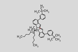 CCCCC[Si](CCCCC)=[Hf]([CH3])([CH3])([CH]1C=Cc2c(-c3cccc(C(C)(C)C)c3)cccc21)[CH]1C=Cc2c(-c3cccc(C(C)(C)C)c3)cccc21